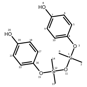 C[Si](C)(Oc1ccc(O)cc1)O[Si](C)(C)Oc1ccc(O)cc1